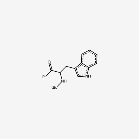 CC(C)C(=O)C(Cc1c[nH]c2ccccc12)NC(C)(C)C